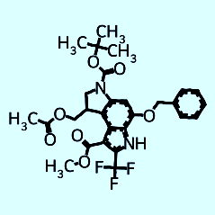 COC(=O)c1c(C(F)(F)F)[nH]c2c(OCc3ccccc3)cc3c(c12)C(COC(C)=O)CN3C(=O)OC(C)(C)C